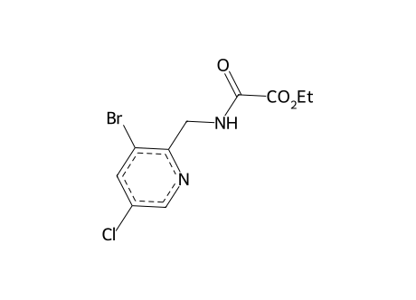 CCOC(=O)C(=O)NCc1ncc(Cl)cc1Br